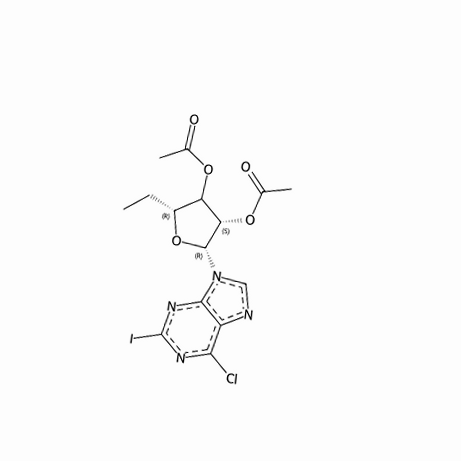 CC[C@H]1O[C@@H](n2cnc3c(Cl)nc(I)nc32)[C@@H](OC(C)=O)C1OC(C)=O